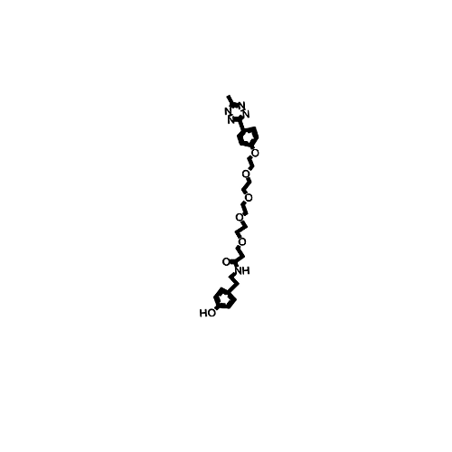 Cc1nnc(-c2ccc(OCCOCCOCCOCCOCCC(=O)NCCc3ccc(O)cc3)cc2)nn1